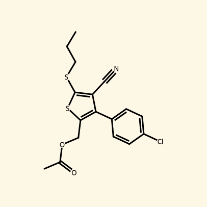 CCCSc1sc(COC(C)=O)c(-c2ccc(Cl)cc2)c1C#N